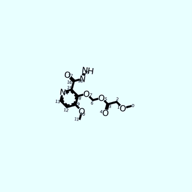 COCC(=O)OCOc1c(OC)ccnc1C(=O)N=N